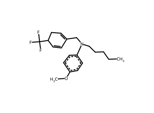 CCCCCN(CC1=CCC(C(F)(F)F)C=C1)c1ccc(OC)cc1